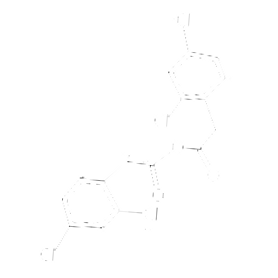 O=C(Cc1ccc(Cl)cc1Cl)OC(=O)Cc1ccc(Cl)cc1Cl